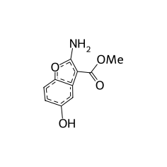 COC(=O)c1c(N)oc2ccc(O)cc12